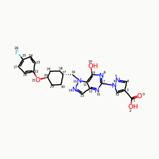 O=C(O)c1cnn(-c2nc(O)c3c(cnn3C[C@H]3CC[C@H](Oc4ccc(F)cc4)CC3)n2)c1